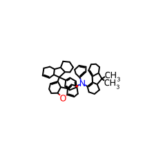 CC1(C)C2CCCC=C2C2=C(N(C3=CC=CCC3)C3C=C4C(=CC3)OC3CCC=C(C5(c6ccccc6)C6C=CCCC6C6CCCCC65)C43)CCCC21